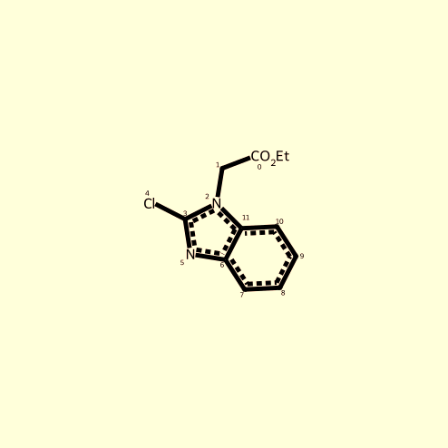 CCOC(=O)Cn1c(Cl)nc2ccccc21